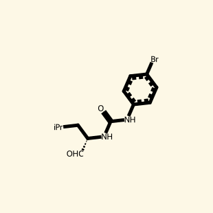 CC(C)C[C@@H](C=O)NC(=O)Nc1ccc(Br)cc1